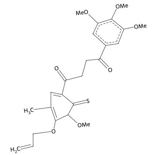 C=CCOC1=C(C)C=C(C(=O)CCC(=O)c2cc(OC)c(OC)c(OC)c2)C(=S)C1OC